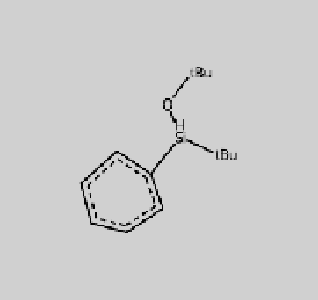 CC(C)(C)O[SiH](c1ccccc1)C(C)(C)C